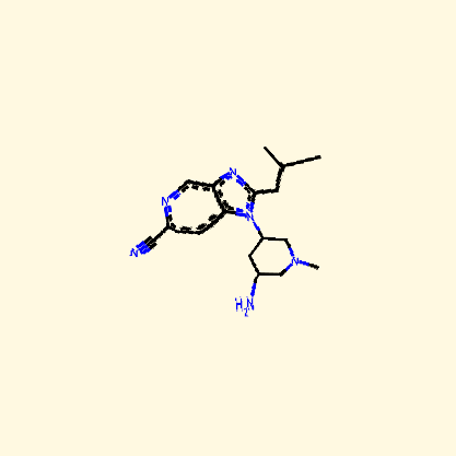 CC(C)Cc1nc2cnc(C#N)cc2n1C1CC(N)CN(C)C1